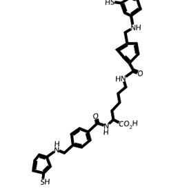 O=C(NCCCCC(NC(=O)c1ccc(CNc2cccc(S)c2)cc1)C(=O)O)c1ccc(CNc2cccc(S)c2)cc1